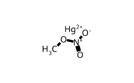 CO[N+](=O)[O-].[Hg+2]